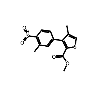 COC(=O)c1scc(C)c1-c1ccc([SH](=O)=O)c(C)c1